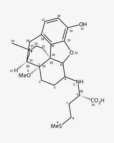 CO[C@@]12CCC(N[C@@H](CCSC)C(=O)O)C3Oc4c(O)ccc5c4[C@@]31CCN(C)[C@@H]2C5